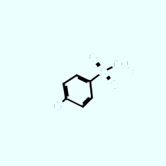 CS(=O)(=O)c1ccc([O])cc1